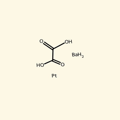 O=C(O)C(=O)O.[BaH2].[Pt]